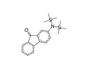 C[Si](C)(C)N(c1ccc2c(c1)C(=O)c1ccccc1-2)[Si](C)(C)C